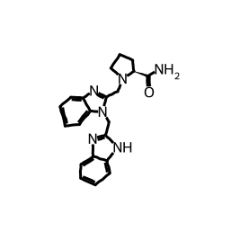 NC(=O)[C@@H]1CCCN1Cc1nc2ccccc2n1Cc1nc2ccccc2[nH]1